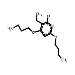 CCCCOc1cc(OCCCC)c(CC)c(Cl)n1